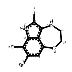 Fc1c(Br)cc2c3c(c(I)[nH]c13)NCCO2